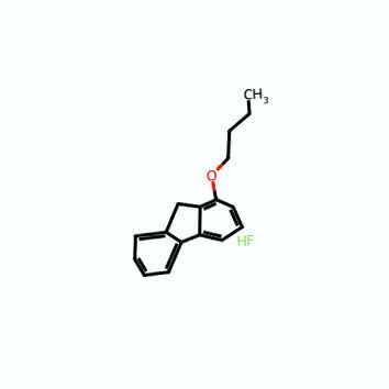 CCCCOc1cccc2c1Cc1ccccc1-2.F